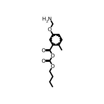 CCCCOC(=O)OC(=O)c1cc(OCN)ccc1C